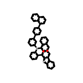 c1cc(-c2ccc(-c3cccc4ccccc34)cc2)cc(N(c2ccccc2-c2cccc3c2sc2ccccc23)c2cccc3ccccc23)c1